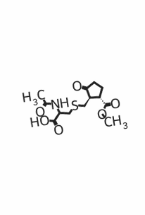 COC(=O)[C@H]1CCC(=O)[C@@H]1CSCC(NC(C)=O)C(=O)O